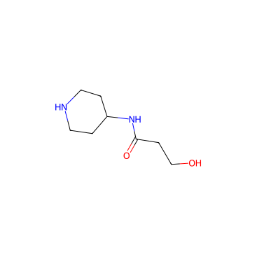 O=C(CCO)NC1CCNCC1